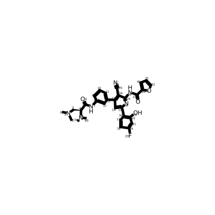 CN(C)C[C@@H](C(=O)Nc1cccc(-c2cc(-c3ccc(F)cc3O)nc(NC(=O)c3ccco3)c2C#N)c1)N(C)C